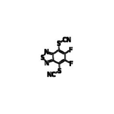 N#CSc1c(F)c(F)c(SC#N)c2nsnc12